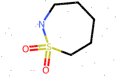 O=S1(=O)CCCCC[N]1